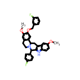 COc1ccc2[nH]c3c(c2c1)CC1c2cc(OCc4cccc(F)c4)c(OC)cc2CCN1C3c1ccc(F)cc1